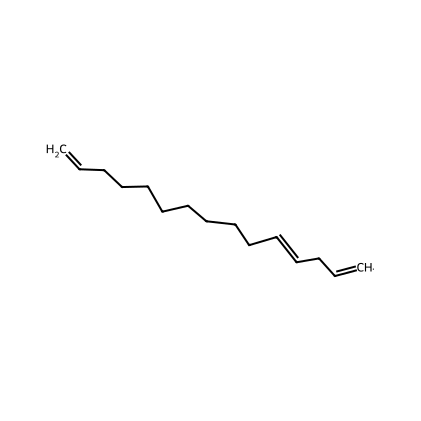 [CH]=CCC=CCCCCCCCCC=C